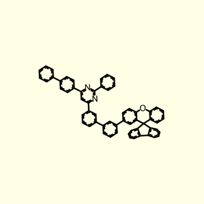 c1ccc(-c2ccc(-c3cc(-c4cccc(-c5cccc(-c6ccc7c(c6)C6(c8ccccc8O7)c7ccccc7-c7ccccc76)c5)c4)nc(-c4ccccc4)n3)cc2)cc1